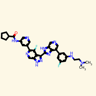 CN(C)CCNc1cc(F)cc(-c2cncc3[nH]c(-c4n[nH]c5cnc(-c6cncc(NC(=O)C7CCCC7)c6)c(F)c45)nc23)c1